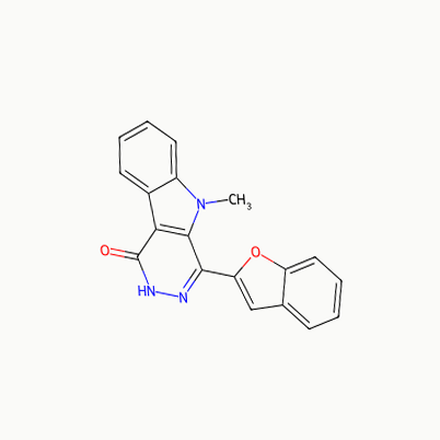 Cn1c2ccccc2c2c(=O)[nH]nc(-c3cc4ccccc4o3)c21